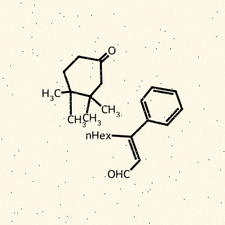 CC1(C)CCC(=O)CC1(C)C.CCCCCCC(=CC=O)c1ccccc1